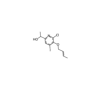 CC=CCOc1c(I)cc(C(C)O)nc1Cl